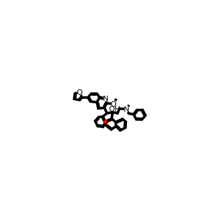 COc1nc2ccc(-c3ccco3)cc2cc1C(c1ccccc1)C(O)(CCN(C)Cc1ccccc1)c1cccc2ccccc12